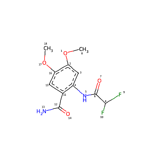 COc1cc(NC(=O)C(F)F)c(C(N)=O)cc1OC